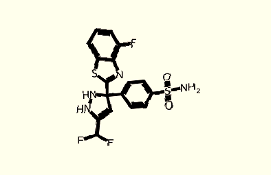 NS(=O)(=O)c1ccc(C2(c3nc4c(F)cccc4s3)C=C(C(F)F)NN2)cc1